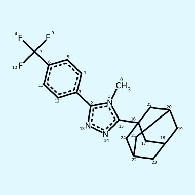 Cn1c(-c2ccc(C(F)(F)F)cc2)nnc1C12CC3CC(CC(C3)C1)C2